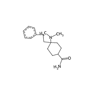 CN(C)C1(CCc2ccccc2)CCC(C(N)=O)CC1